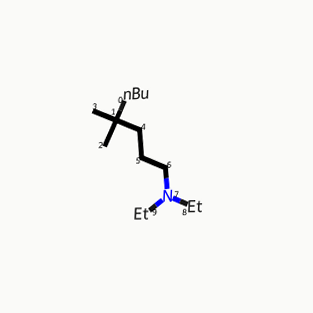 CCCCC(C)(C)CCCN(CC)CC